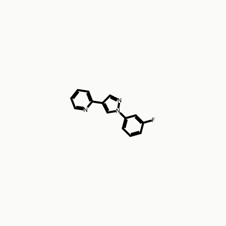 Fc1cccc(-n2cc(-c3ccccn3)cn2)c1